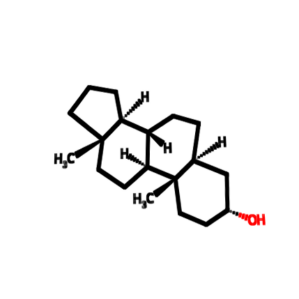 C[C@@]12CCC[C@H]1[C@@H]1CC[C@H]3C[C@H](O)CC[C@]3(C)[C@H]1CC2